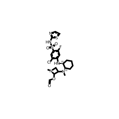 CN1CC(N(C)[C@H]2CCCC[C@@H]2Nc2cc(F)c(S(=O)(=O)Nc3nccs3)cc2Cl)C1OC=O